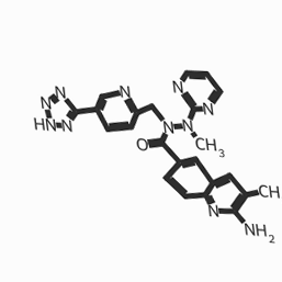 Cc1cc2cc(C(=O)N(Cc3ccc(-c4nn[nH]n4)cn3)N(C)c3ncccn3)ccc2nc1N